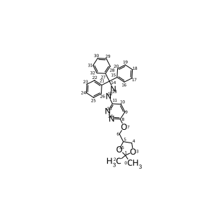 CC1(C)OCC(COc2ccc(N=NC(c3ccccc3)(c3ccccc3)c3ccccc3)nn2)O1